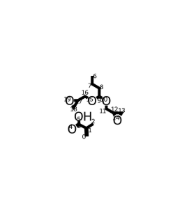 C=C(C)C(=O)O.CCCC(OCC1CO1)OCC1CO1